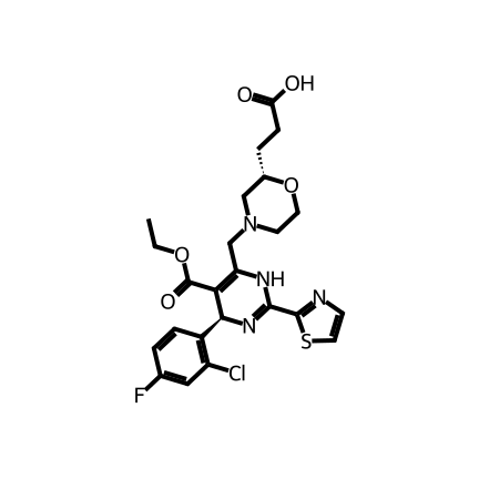 CCOC(=O)C1=C(CN2CCO[C@@H](CCC(=O)O)C2)NC(c2nccs2)=N[C@H]1c1ccc(F)cc1Cl